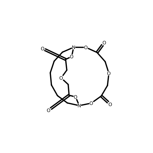 O=C1COCC(=O)ON2CCCCCCN(O1)OC(=O)COCC(=O)O2